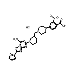 Cl.Nc1nc(N2CCCC(CN3CCN(c4ccc(C(=O)O)c([N+](=O)[O-])c4)CC3)C2)nc2nc(-c3ccco3)nn12